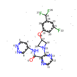 O=C(Nc1ccnnc1)c1nccnc1N1CC(Oc2cc(F)cc(C(F)F)c2)C1